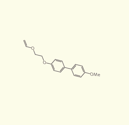 C=COCCOc1ccc(-c2ccc(OC)cc2)cc1